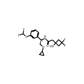 O=C(CC1(O)CC(F)(F)C1)N[C@@H](COC1CC1)c1cccc(OC(F)F)c1